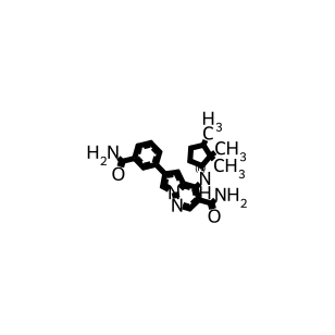 CC1CC[C@@H](Nc2c(C(N)=O)cnn3cc(-c4cccc(C(N)=O)c4)cc23)C1(C)C